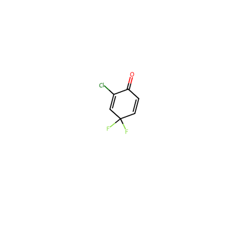 O=C1C=CC(F)(F)C=C1Cl